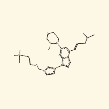 C[C@@H]1COCCN1c1cc(/C=C/CN(C)C)c2cnn(-c3ccn(COCC[Si](C)(C)C)n3)c2n1